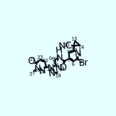 C[C@H](NC(=O)c1cc(Br)nc(C2(C#N)CC2)c1)c1ncnn1-c1ccc(=O)n(C)n1